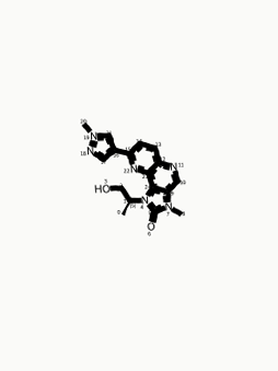 C[C@@H](CO)n1c(=O)n(C)c2cnc3ccc(-c4cnn(C)c4)nc3c21